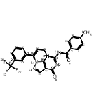 Cc1ccc(C(=O)Nc2nc(=O)c3cnn4c3n2CC=C4c2cccc(C(F)(F)F)c2)cc1